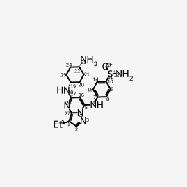 CCc1cnn2c(Nc3ccc([S+](N)[O-])cc3)cc(N[C@H]3CC[C@@H](N)CC3)nc12